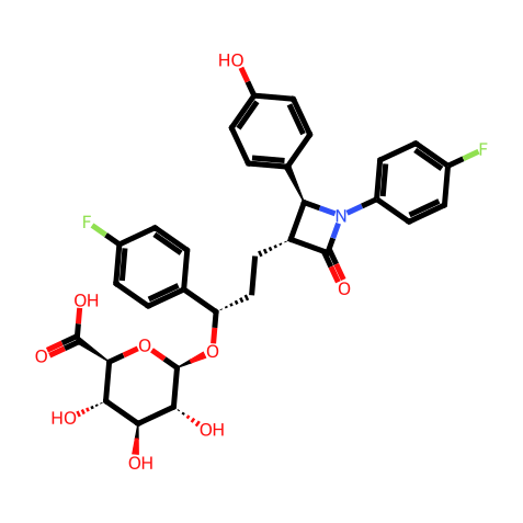 O=C(O)[C@H]1O[C@@H](O[C@@H](CC[C@H]2C(=O)N(c3ccc(F)cc3)[C@@H]2c2ccc(O)cc2)c2ccc(F)cc2)[C@H](O)[C@@H](O)[C@@H]1O